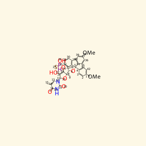 COc1ccc(C(OCC2(C)OC(n3cc(C)c(=O)[nH]c3=O)C(O)=C2O[PH](O)=S)(c2ccccc2)c2ccc(OC)cc2)cc1